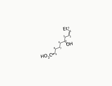 CC/C=C\CC(O)CCCCC(=O)O